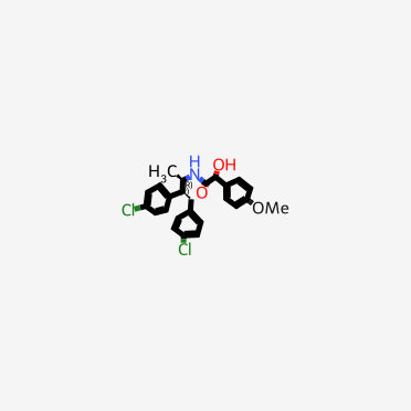 COc1ccc(C(O)C(=O)N[C@H](C)[C@H](Cc2ccc(Cl)cc2)c2ccc(Cl)cc2)cc1